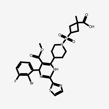 COC(=O)C1=C(C2CCN(S(=O)(=O)C3CC(C)(C(=O)O)C3)CC2)NC(c2nccs2)=NC1c1cccc(F)c1Br